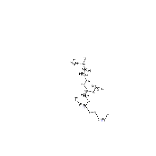 C/C=C\CC/C(=C/F)CNC(CCNNC(C)N)CNC